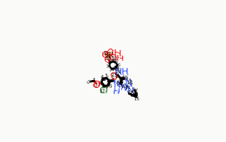 CCOc1ccc(CNc2nc(N3CC4CC4C3)ncc2C(=O)N[C@H]2CC[C@H](OP(=O)(O)O)CC2)cc1Cl